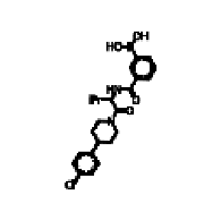 CC(C)C(NC(=O)c1cccc(B(O)O)c1)C(=O)N1CCC(c2ccc(Cl)cc2)CC1